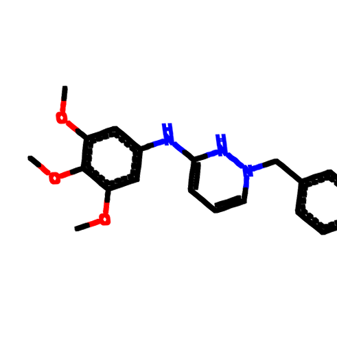 COc1cc(NC2=CC=CN(Cc3ccccc3)N2)cc(OC)c1OC